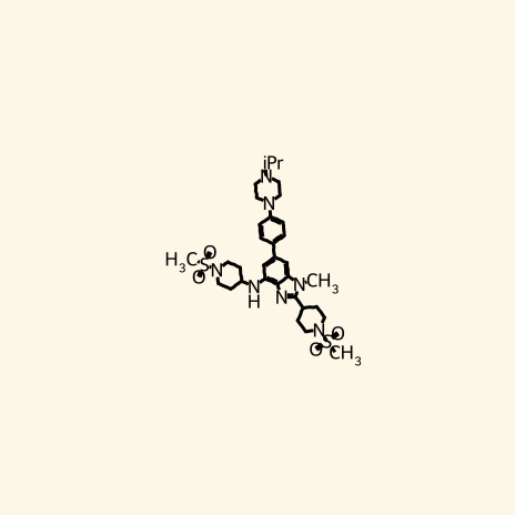 CC(C)N1CCN(c2ccc(-c3cc(NC4CCN(S(C)(=O)=O)CC4)c4nc(C5CCN(S(C)(=O)=O)CC5)n(C)c4c3)cc2)CC1